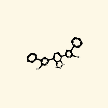 CC(C)c1sc(C2=CC=C(c3cc(-c4ccccc4)c(C(C)(C)C)s3)C3NSN=C23)cc1-c1ccccc1